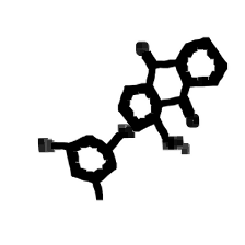 CCc1cc(C)cc(CC)c1.Nc1cccc2c1C(=O)c1ccccc1C2=O